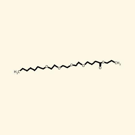 CCCCCCCOCCOCCOCCOCCCC(=O)OCCC